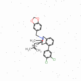 C=C(C)CC1C2c3c(-c4ccc(Cl)c(Cl)c4)cccc3C(CC2(C)C)N1Cc1ccc2c(c1)OCO2